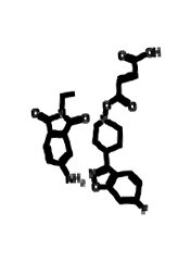 CCN1C(=O)c2ccc(N)cc2C1=O.O=C(O)/C=C/C(=O)ON1CCC(c2noc3cc(F)ccc23)CC1